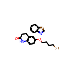 O=C1CCc2cc(OCCCCS)ccc2N1.c1ccc2scnc2c1